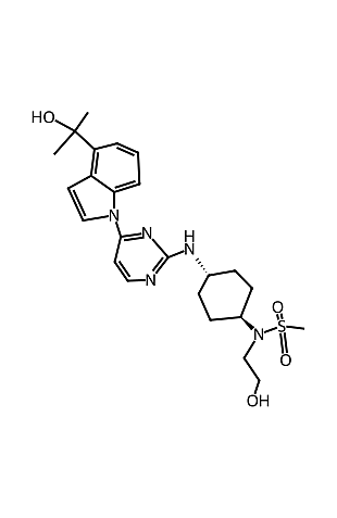 CC(C)(O)c1cccc2c1ccn2-c1ccnc(N[C@H]2CC[C@H](N(CCO)S(C)(=O)=O)CC2)n1